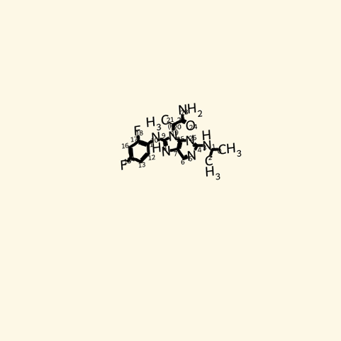 CC(C)Nc1ncc2nc(Nc3ccc(F)cc3F)n([C@H](C)C(N)=O)c2n1